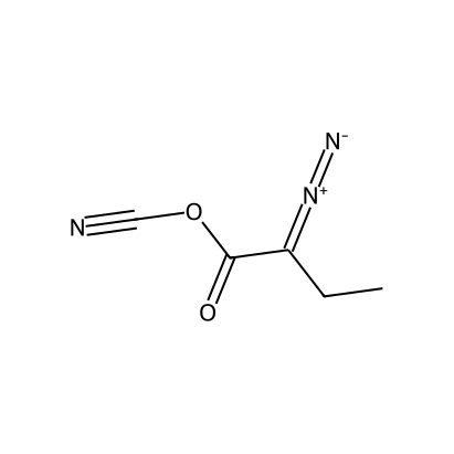 CCC(=[N+]=[N-])C(=O)OC#N